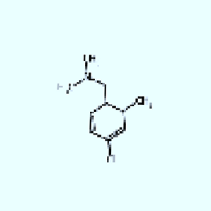 CC1C=C(Cl)C=CC1CN(C)C